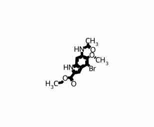 CCOC(=O)c1cc2c(Br)c(OC)c(NC(C)=O)cc2[nH]1